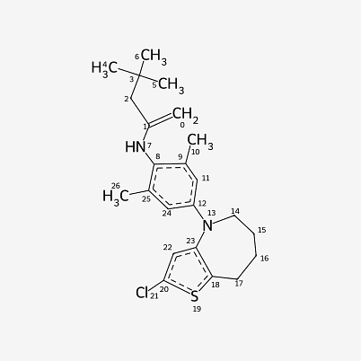 C=C(CC(C)(C)C)Nc1c(C)cc(N2CCCCc3sc(Cl)cc32)cc1C